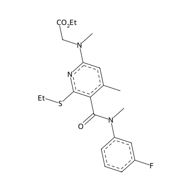 CCOC(=O)CN(C)c1cc(C)c(C(=O)N(C)c2cccc(F)c2)c(SCC)n1